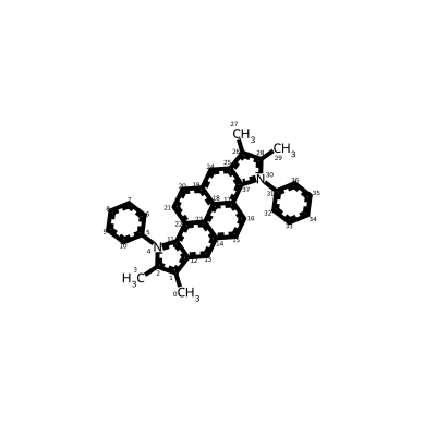 Cc1c(C)n(-c2ccccc2)c2c1cc1ccc3c4c(ccc2c14)cc1c(C)c(C)n(-c2ccccc2)c13